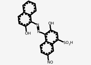 O=Nc1ccc2c(/N=N/c3c(O)ccc4ccccc34)c(O)cc(S(=O)(=O)O)c2c1